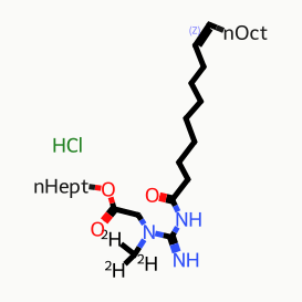 Cl.[2H]C([2H])([2H])N(CC(=O)OCCCCCCC)C(=N)NC(=O)CCCCCCC/C=C\CCCCCCCC